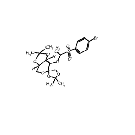 CC(O[C@@H]1[C@H]2OC(C)(C)O[C@H]2CO[C@@]12COC(C)(C)O2)S(=O)(=O)c1ccc(Br)cc1